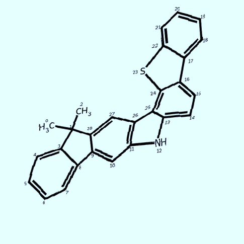 CC1(C)c2ccccc2-c2cc3[nH]c4ccc5c6ccccc6sc5c4c3cc21